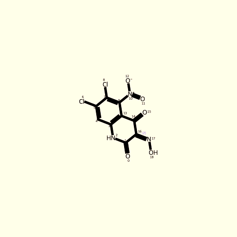 O=C1Nc2cc(Cl)c(Cl)c([N+](=O)[O-])c2C(=O)/C1=N/O